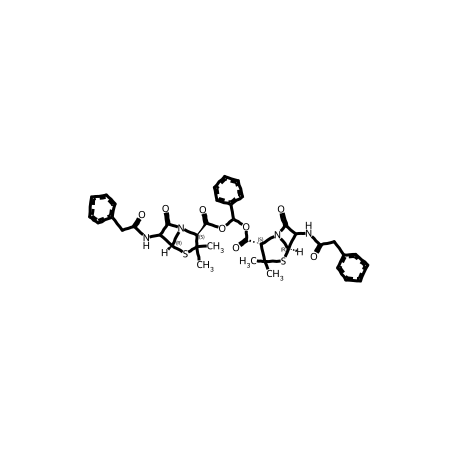 CC1(C)S[C@@H]2C(NC(=O)Cc3ccccc3)C(=O)N2[C@H]1C(=O)OC(OC(=O)[C@@H]1N2C(=O)C(NC(=O)Cc3ccccc3)[C@H]2SC1(C)C)c1ccccc1